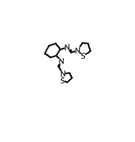 C(=NC1CCCCC1N=CN1CCCS1)N1CCCS1